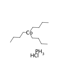 CCC[CH2][Co]([CH2]CCC)[CH2]CCC.Cl.P